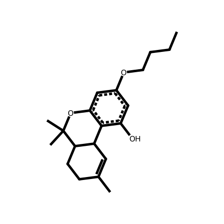 CCCCOc1cc(O)c2c(c1)OC(C)(C)C1CCC(C)=CC21